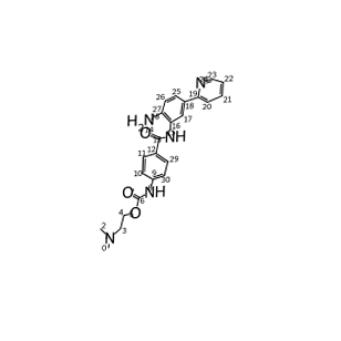 CN(C)CCOC(=O)Nc1ccc(C(=O)Nc2cc(-c3ccccn3)ccc2N)cc1